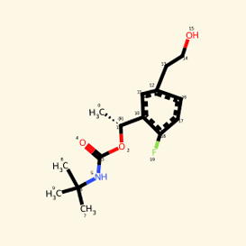 C[C@@H](OC(=O)NC(C)(C)C)c1cc(CCO)ccc1F